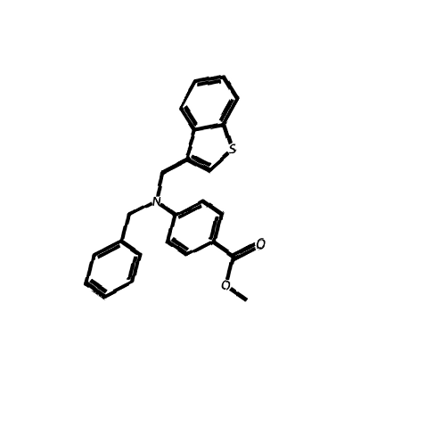 COC(=O)c1ccc(N(Cc2ccccc2)Cc2csc3ccccc23)cc1